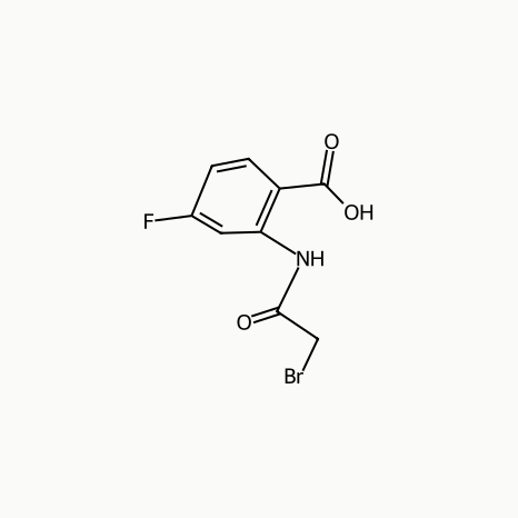 O=C(CBr)Nc1cc(F)ccc1C(=O)O